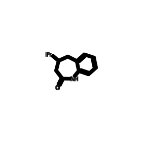 CC(C)C1CC(=O)Nc2ccccc2C1